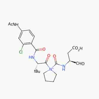 CC(=O)Nc1ccc(C(=O)N[C@H](C(=O)[N+]2(C(=O)N[C@H](C=O)CC(=O)O)CCCC2)C(C)(C)C)c(Cl)c1